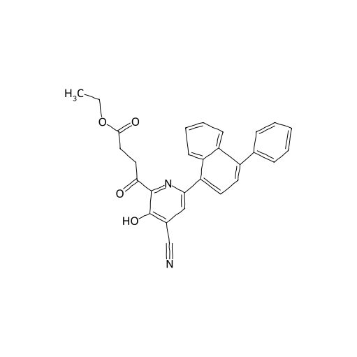 CCOC(=O)CCC(=O)c1nc(-c2ccc(-c3ccccc3)c3ccccc23)cc(C#N)c1O